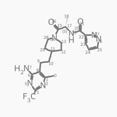 Cc1nc(C(F)(F)F)nc(N)c1CCC1CCN(C(=O)[C@H](C)NC(=O)c2cccnn2)CC1